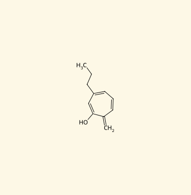 C=C1C=CC=C(CCC)C=C1O